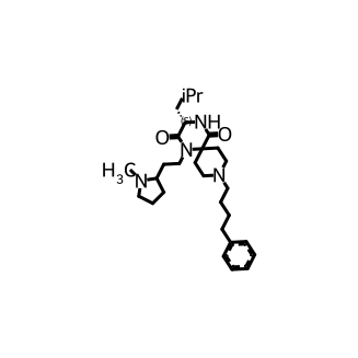 CC(C)C[C@@H]1NC(=O)C2(CCN(CCCCc3ccccc3)CC2)N(CCC2CCCN2C)C1=O